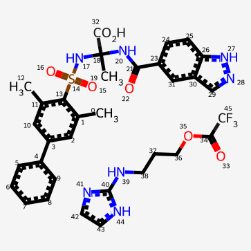 Cc1cc(-c2ccccc2)cc(C)c1S(=O)(=O)NC(C)(NC(=O)c1ccc2[nH]ncc2c1)C(=O)O.O=C(OCCCNc1ncc[nH]1)C(F)(F)F